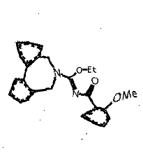 CCOC(=NC(=O)c1ccccc1OC)N1Cc2ccccc2-c2ccccc2C1